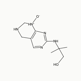 CC(C)(CO)Nc1ncc2c(n1)[NH+]([O-])CNC2